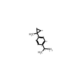 CC(N)c1ccc(C2(C)CC2)cc1